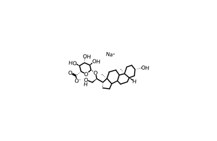 C[C@]12CCC3C(CC[C@H]4C[C@@H](O)CC[C@]34C)C1CC[C@@H]2[C@@H](CO)O[C@@H]1O[C@H](C(=O)[O-])[C@@H](O)[C@H](O)[C@H]1O.[Na+]